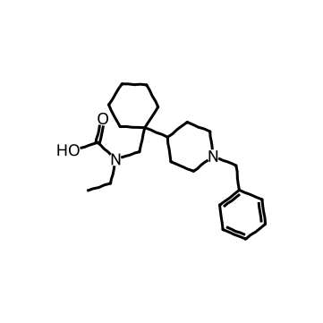 CCN(CC1(C2CCN(Cc3ccccc3)CC2)CCCCC1)C(=O)O